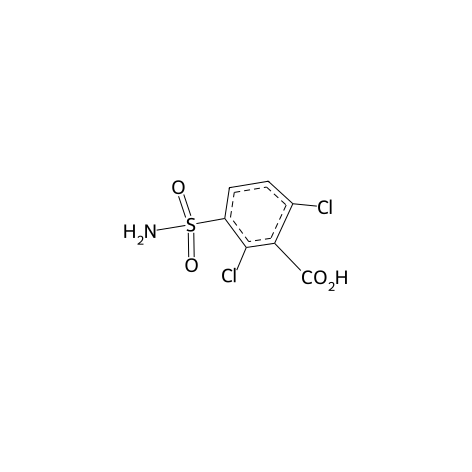 NS(=O)(=O)c1ccc(Cl)c(C(=O)O)c1Cl